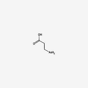 O=C(O)CC[AsH2]